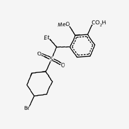 CCC(c1cccc(C(=O)O)c1OC)S(=O)(=O)C1CCC(Br)CC1